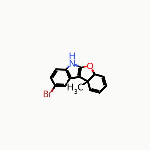 CC12C=CC=CC1Oc1[nH]c3ccc(Br)cc3c12